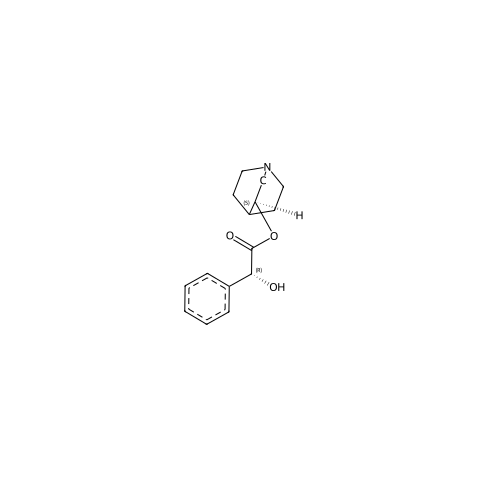 O=C(O[C@@H]1CN2CCC1CC2)[C@H](O)c1ccccc1